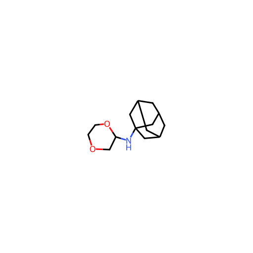 C1COC(NC23CC4CC(CC(C4)C2)C3)CO1